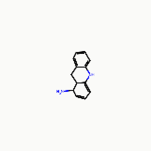 NC1C=CC=C2Nc3ccccc3CC21